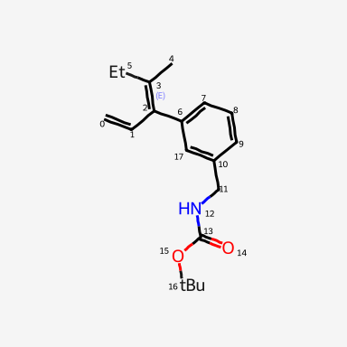 C=C/C(=C(/C)CC)c1cccc(CNC(=O)OC(C)(C)C)c1